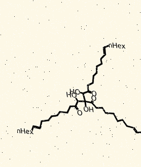 CCCCCCC=CCCCCCCCC(=O)C(O)C(O)(C(=O)CCCCCCCC=CCCCCCC)C(O)C(=O)CCCCCCCC=CCCCCCC